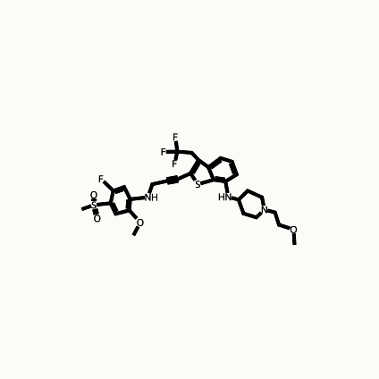 COCCN1CCC(Nc2cccc3c(CC(F)(F)F)c(C#CCNc4cc(F)c(S(C)(=O)=O)cc4OC)sc23)CC1